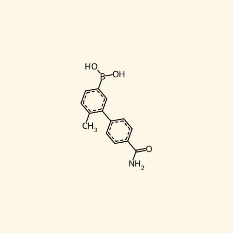 Cc1ccc(B(O)O)cc1-c1ccc(C(N)=O)cc1